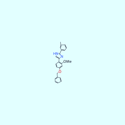 COc1cc(OCc2ccccc2)ccc1-c1c[nH]c(-c2cccc(C)c2)n1